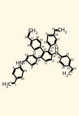 C=Cc1ccc(Nc2ccc(-c3ccc(Nc4ccc(C=C)cc4)c(-c4ccc(C=C)cc4)c3-c3ccc(C=C)cc3)cc2)cc1